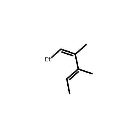 CC=C(C)C(C)=CCC